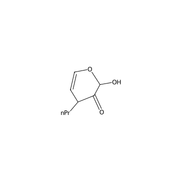 CCCC1C=COC(O)C1=O